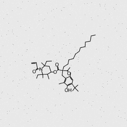 C=CC(=O)N1C(C)(CC)CC(OC(=O)C(CCCCCCCCCCCC)(Cc2c(C)cc(C(C)(C)C)c(O)c2C)C(C)=O)C(C)C1(C)CC